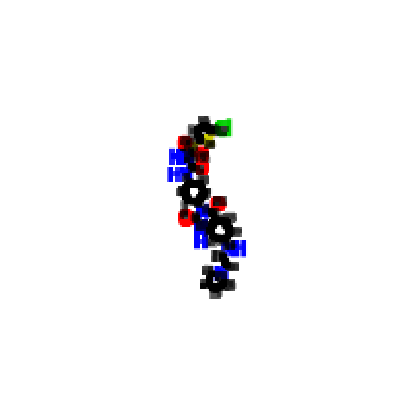 O=C(Nc1ccc(-n2c(=O)[nH]c3cc(NCCN4CCCC4)ccc3c2=O)cc1)NS(=O)(=O)c1ccc(Cl)s1